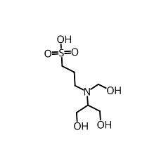 O=S(=O)(O)CCCN(CO)C(CO)CO